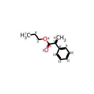 C=C(C(=O)O[CH]CC)c1ccccc1